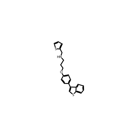 c1csc(CNCCCOc2ccc(-c3csc4ccccc34)cc2)c1